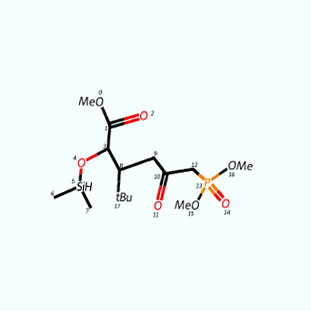 COC(=O)C(O[SiH](C)C)C(CC(=O)CP(=O)(OC)OC)C(C)(C)C